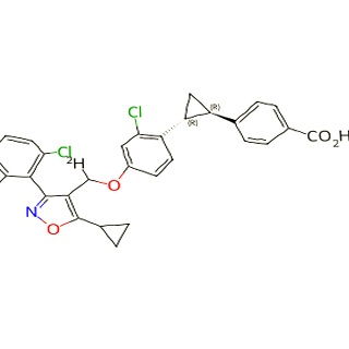 [2H]C(Oc1ccc([C@@H]2C[C@H]2c2ccc(C(=O)O)cc2)c(Cl)c1)c1c(-c2c(Cl)cccc2Cl)noc1C1CC1